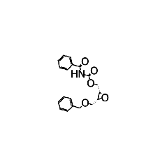 O=C(NC(=O)c1ccccc1)OC[C@@H]1O[C@@H]1COCc1ccccc1